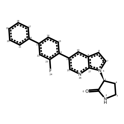 O=C1NCC[C@@H]1n1ccc2cc(-c3ccc(-c4ccccc4)cc3F)cnc21